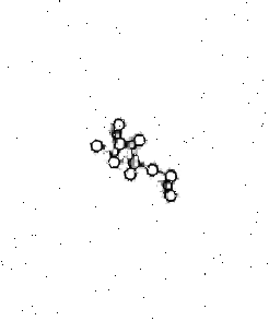 c1ccc(-n2c3ccccc3c3c2c2oc4ccccc4c2c2c4ccccc4n(-c4nc(-c5ccc(-c6cccc7c6oc6ccccc67)cc5)c5ccccc5n4)c23)cc1